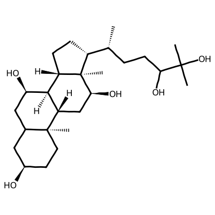 C[C@H](CCC(O)C(C)(C)O)[C@H]1CC[C@H]2[C@@H]3[C@H](O)CC4C[C@H](O)CC[C@]4(C)[C@H]3C[C@H](O)[C@]12C